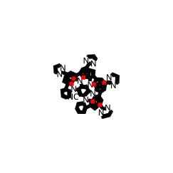 N#Cc1c(-n2c3ccccc3c3ccccc32)c(-n2c3ccc(-c4ncccn4)cc3c3cc(-c4ncccn4)ccc32)c(-n2c3ccccc3c3ccccc32)c(-n2c3ccc(-c4ncccn4)cc3c3cc(-c4ncccn4)ccc32)c1-n1c2ccccc2c2ccccc21